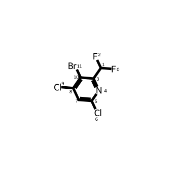 FC(F)c1nc(Cl)cc(Cl)c1Br